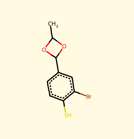 CC1OC(c2ccc(S)c(Br)c2)O1